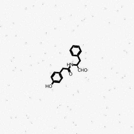 O=[C][C@H](Cc1ccccc1)NC(=O)Cc1ccc(O)cc1